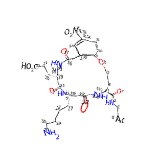 CC(=O)CNC(=O)[C@@H]1CCOc2ccc([N+](=O)[O-])cc2C(=O)N[C@@H](CCC(=O)O)C(=O)N[C@@H](CCCCN)C(=O)N1